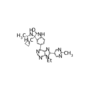 CCn1c(-c2cnc(C)nc2)nc2c(-c3ccc4c(c3)C(C)(NC(C)C3CCC3)C(=O)N4)ncnc21